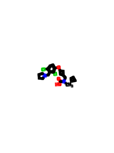 C1CCC1.CN(CC1CC(Oc2ccc(Cl)c(CN3CCCC3)c2Cl)C1)C(=O)O